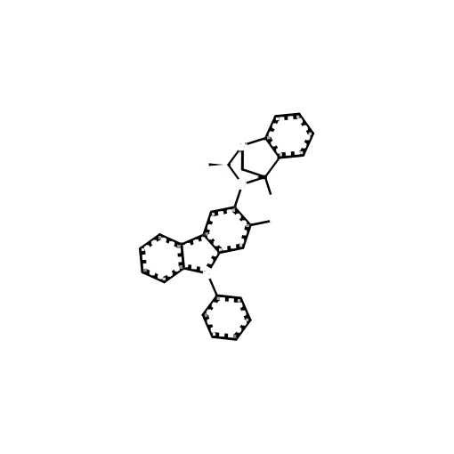 Cc1cc2c(cc1N1[C@@H](C)N3CC1(C)c1ccccc13)c1ccccc1n2-c1ccccc1